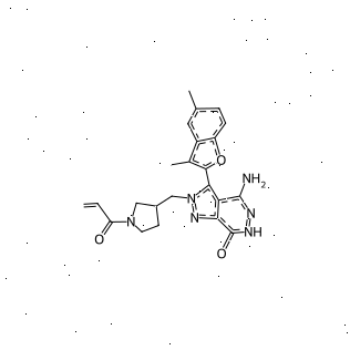 C=CC(=O)N1CCC(Cn2nc3c(=O)[nH]nc(N)c3c2-c2oc3ccc(C)cc3c2C)C1